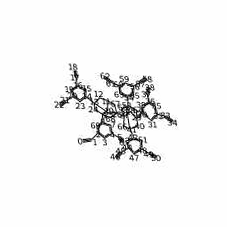 C#Cc1cc(C#C)cc(C23CC4CC(c5cc(C#C)cc(C#C)c5)(C2)CC(C25CC6(c7cc(C#C)cc(C#C)c7)CC(c7cc(C#C)cc(C#C)c7)(CC(c7cc(C#C)cc(C#C)c7)(C6)C2)C5)(C4)C3)c1